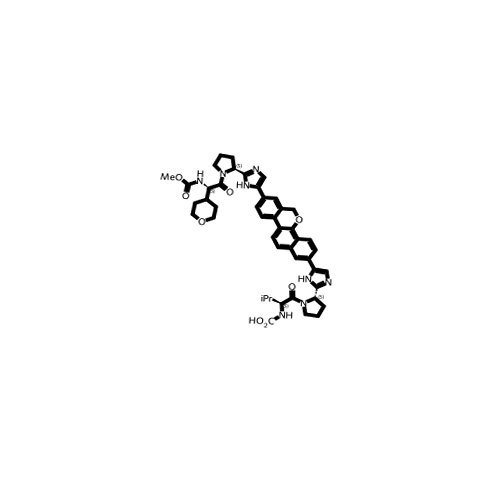 COC(=O)N[C@H](C(=O)N1CCC[C@H]1c1ncc(-c2ccc3c(c2)COc2c-3ccc3cc(-c4cnc([C@@H]5CCCN5C(=O)[C@@H](NC(=O)O)C(C)C)[nH]4)ccc23)[nH]1)C1CCOCC1